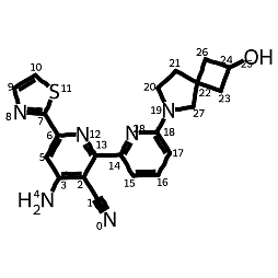 N#Cc1c(N)cc(-c2nccs2)nc1-c1cccc(N2CCC3(CC(O)C3)C2)n1